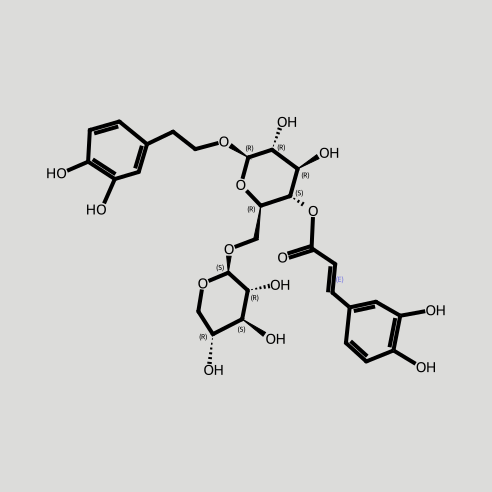 O=C(/C=C/c1ccc(O)c(O)c1)O[C@H]1[C@H](O)[C@@H](O)[C@H](OCCc2ccc(O)c(O)c2)O[C@@H]1CO[C@@H]1OC[C@@H](O)[C@H](O)[C@H]1O